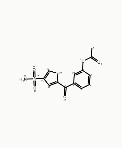 CC(=O)Oc1cccc(C(=O)c2cc(S(N)(=O)=O)cs2)c1